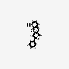 O=c1[nH]cccc1Cc1ccc(-c2ccccc2)nc1